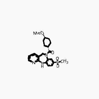 CO[C@H]1CC[C@H](C(=O)N2Cc3cccnc3Nc3ccc(S(C)(=O)=O)cc32)CC1